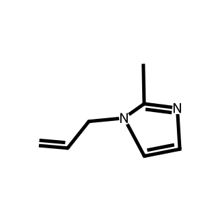 C=CCn1ccnc1C